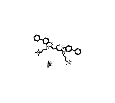 CCC(/C=C1\Sc2ccc(-c3ccccc3)cc2N1CCC[N+](C)(C)C)=C\c1sc2ccc(-c3ccccc3)cc2[n+]1CCC[N+](C)(C)C.[Br-].[Br-].[Br-]